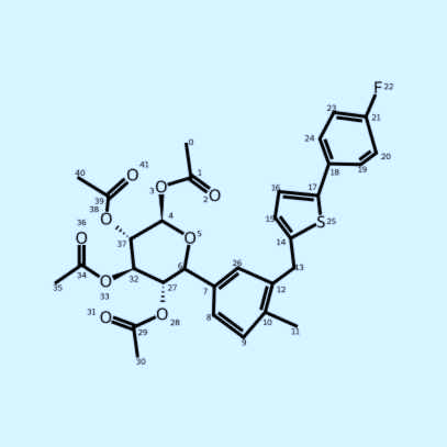 CC(=O)O[C@H]1OC(c2ccc(C)c(Cc3ccc(-c4ccc(F)cc4)s3)c2)[C@H](OC(C)=O)[C@@H](OC(C)=O)[C@@H]1OC(C)=O